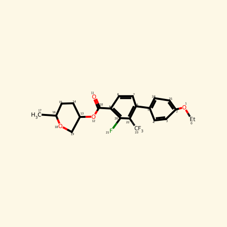 CCOc1ccc(-c2ccc(C(=O)OC3CCC(C)OC3)c(F)c2C(F)(F)F)cc1